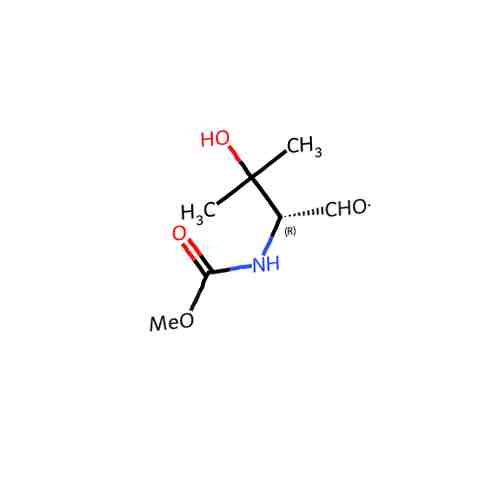 COC(=O)N[C@@H]([C]=O)C(C)(C)O